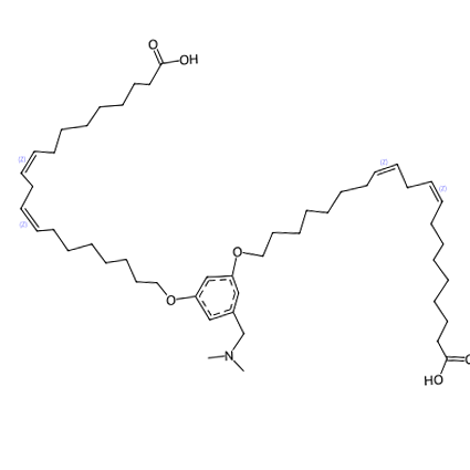 CN(C)Cc1cc(OCCCCCCC/C=C\C/C=C\CCCCCCCC(=O)O)cc(OCCCCCCC/C=C\C/C=C\CCCCCCCC(=O)O)c1